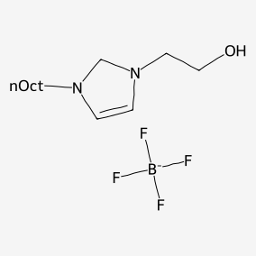 CCCCCCCCN1C=CN(CCO)C1.F[B-](F)(F)F